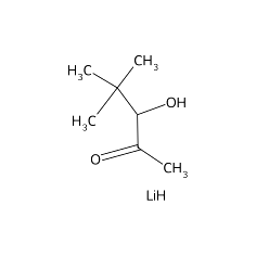 CC(=O)C(O)C(C)(C)C.[LiH]